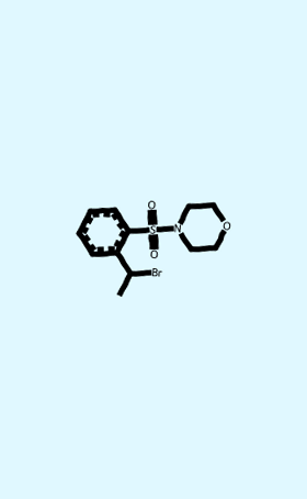 CC(Br)c1ccccc1S(=O)(=O)N1CCOCC1